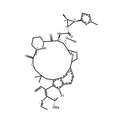 C=C/C(=C(\N=C/C)[C@H](C)OC)c1c2c3cc(ccc3n1CC)C1CSC(=N1)[C@@H](OCC)[C@H](NC(=O)[C@@H]1[C@@H](C)[C@H]1c1ccn(C)n1)C(=O)N1CCC[C@H](N1)C(=O)OCC(C)(C)C2